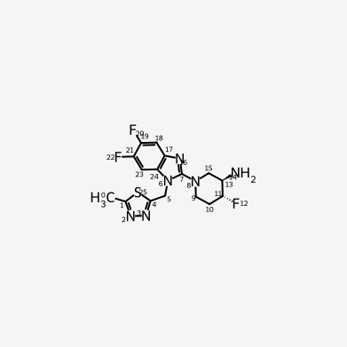 Cc1nnc(Cn2c(N3CC[C@@H](F)[C@H](N)C3)nc3cc(F)c(F)cc32)s1